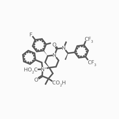 Cc1cc(F)ccc1[C@H]1C[C@@]2(CCN1C(=O)N(C)[C@H](C)c1cc(C(F)(F)F)cc(C(F)(F)F)c1)CC(C)(C(=O)O)C(=O)[N+]2(Cc1ccccc1)C(=O)O